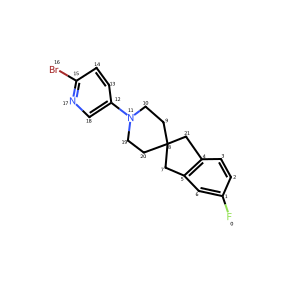 Fc1ccc2c(c1)CC1(CCN(c3ccc(Br)nc3)CC1)C2